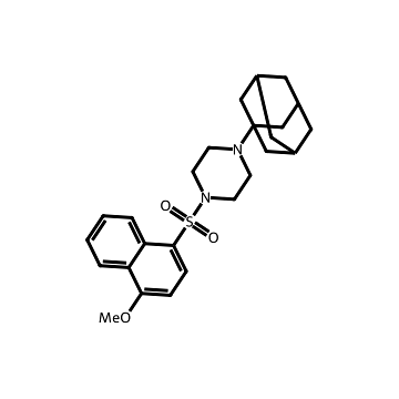 COc1ccc(S(=O)(=O)N2CCN(C34CC5CC(CC(C5)C3)C4)CC2)c2ccccc12